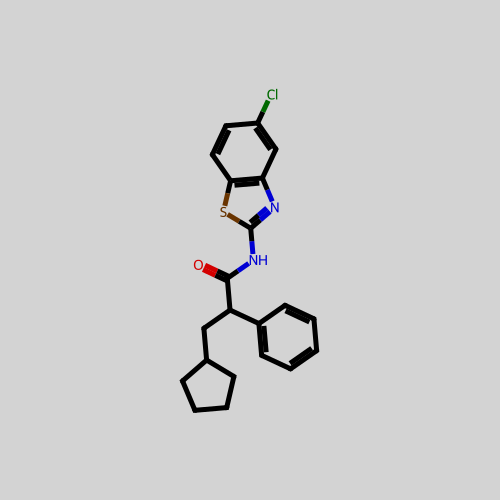 O=C(Nc1nc2cc(Cl)ccc2s1)C(CC1CCCC1)c1ccccc1